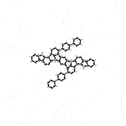 c1ccc(-c2ccc(-c3ccc4c5c6sc7ccccc7c6ccc5n5c6cc7c8c(-c9ccc(-c%10ccccc%10)cc9)ccc9c%10c%11sc%12ccccc%12c%11ccc%10n(c7cc6c3c45)c98)cc2)cc1